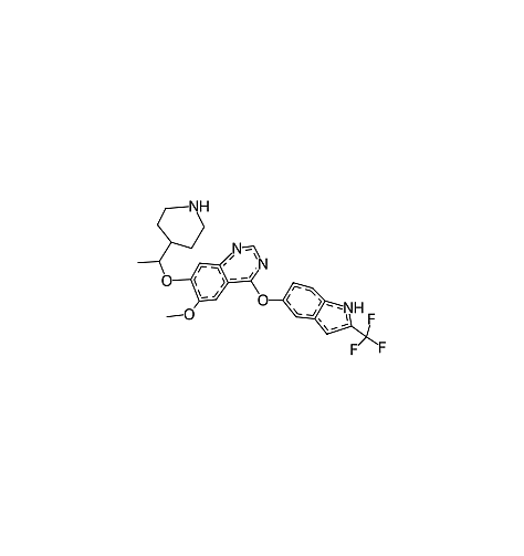 COc1cc2c(Oc3ccc4[nH]c(C(F)(F)F)cc4c3)ncnc2cc1OC(C)C1CCNCC1